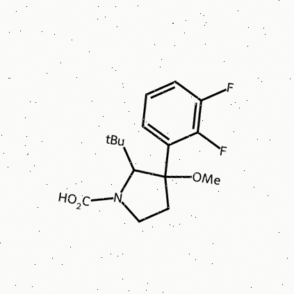 COC1(c2cccc(F)c2F)CCN(C(=O)O)C1C(C)(C)C